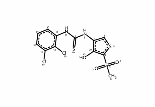 CS(=O)(=O)c1scc(NC(=S)Nc2cccc(Cl)c2Cl)c1O